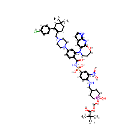 CC1(C)CCC(CN2CCN(c3ccc(C(=O)NS(=O)(=O)c4ccc(NCC5CC[PH](O)(OCOC(=O)C(C)(C)C)CC5)c([N+](=O)[O-])c4)c(N4CCCOc5nc6[nH]ccc6cc54)c3)CC2)=C(c2ccc(Cl)cc2)C1